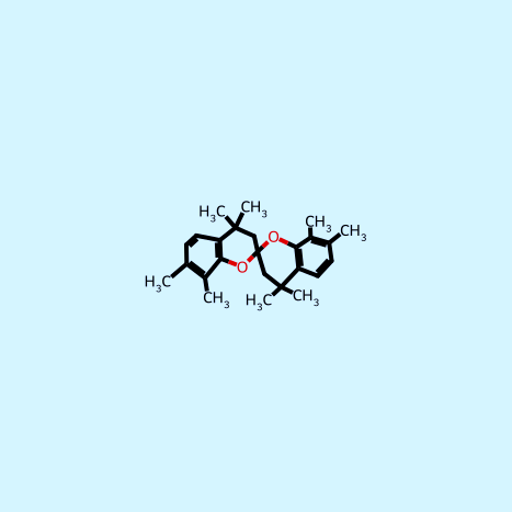 Cc1ccc2c(c1C)OC1(CC2(C)C)CC(C)(C)c2ccc(C)c(C)c2O1